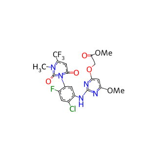 COC(=O)COc1cc(OC)nc(Nc2cc(-n3c(=O)cc(C(F)(F)F)n(C)c3=O)c(F)cc2Cl)n1